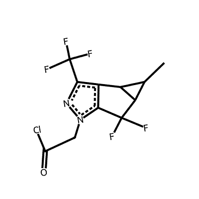 CC1C2c3c(C(F)(F)F)nn(CC(=O)Cl)c3C(F)(F)C12